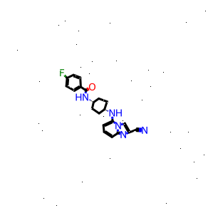 N#Cc1cn2c(N[C@H]3CC[C@@H](NC(=O)c4ccc(F)cc4)CC3)cccc2n1